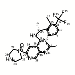 Cc1nc(N[C@H](C)c2cccc(C(F)(F)F)c2C)c2cc(P3(=O)CCNCC3)ncc2n1